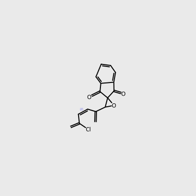 C=C(Cl)/C=C\C(=C)C1OC12C(=O)c1ccccc1C2=O